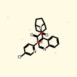 O=C(Nc1ccc(Cl)cn1)C(=O)N1C2CCC1CC(c1ccnc3ccccc13)C2